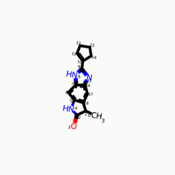 CC1C(=O)Nc2cc3[nH]c(C4=CCCC4)nc3cc21